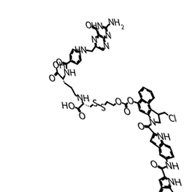 Nc1nc2ncc(CNc3ccc(C(=O)N[C@H](CCCN[C@H](CSSCCOC(=O)Oc4cc5c(c6ccccc46)C(CCl)CN5C(=O)c4cc5cc(NC(=O)c6cc7ccccc7[nH]6)ccc5[nH]4)C(=O)O)C(=O)O)cc3)nc2c(=O)[nH]1